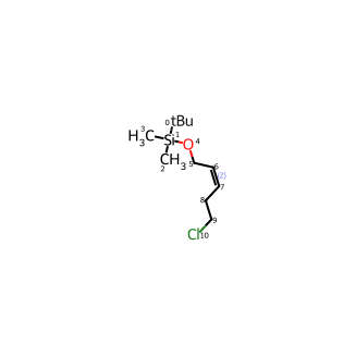 CC(C)(C)[Si](C)(C)OC/C=C\CCCl